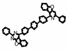 c1ccc(-c2cc3oc4ccccc4c3c(-c3ccc(-c4ccc(-c5ccc(-c6nc(-c7ccccc7)nc7oc8ccccc8c67)cc5)cc4)cc3)n2)cc1